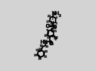 NC1CCN(S(=O)(=O)c2ccc(C(=O)NCCc3ccccc3)c(F)c2)CC1